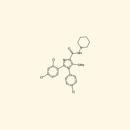 CSc1c(C(=O)NN2CCCCC2)nc(-c2ccc(Cl)cc2Cl)n1-c1ccc(Cl)cc1